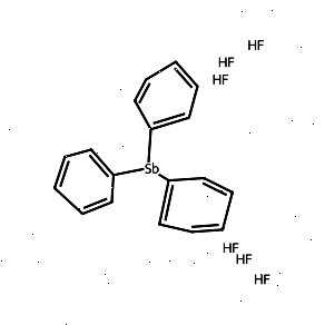 F.F.F.F.F.F.c1cc[c]([Sb]([c]2ccccc2)[c]2ccccc2)cc1